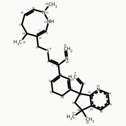 C=CC1(C2=CC(/C(=C/SC/C3=C/NN(C)/C=C\CC3C)N=C)=CCC2)CC(C)(C)c2cccnc21